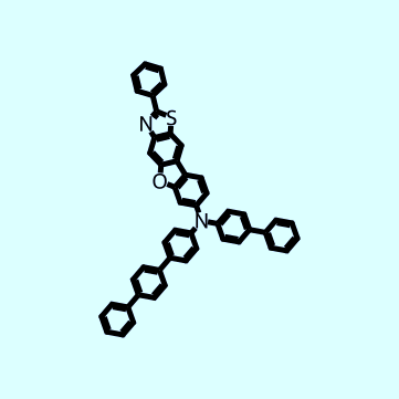 c1ccc(-c2ccc(-c3ccc(N(c4ccc(-c5ccccc5)cc4)c4ccc5c(c4)oc4cc6nc(-c7ccccc7)sc6cc45)cc3)cc2)cc1